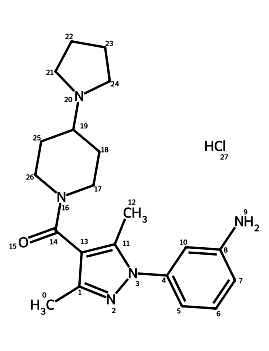 Cc1nn(-c2cccc(N)c2)c(C)c1C(=O)N1CCC(N2CCCC2)CC1.Cl